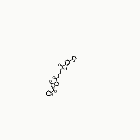 O=C(NCCCCC(=O)N1CCC2C1C(=O)CN2C(=O)c1ccccn1)c1ccc(-c2cccs2)cc1